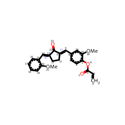 C=CC(=O)Oc1ccc(/C=C2\CC/C(=C\c3ccccc3OC)C2=O)cc1OC